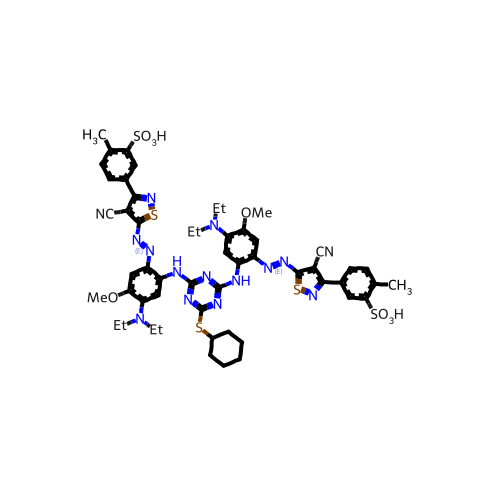 CCN(CC)c1cc(Nc2nc(Nc3cc(N(CC)CC)c(OC)cc3/N=N/c3snc(-c4ccc(C)c(S(=O)(=O)O)c4)c3C#N)nc(SC3CCCCC3)n2)c(/N=N/c2snc(-c3ccc(C)c(S(=O)(=O)O)c3)c2C#N)cc1OC